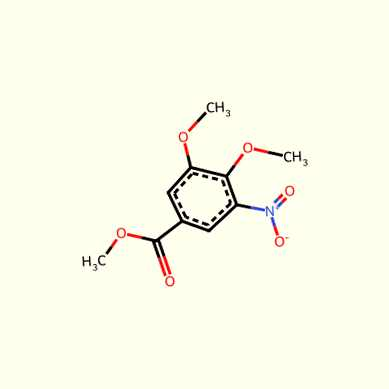 COC(=O)c1cc(OC)c(OC)c([N+](=O)[O-])c1